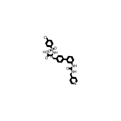 O=C(NCc1ccncc1)Nc1cccc(-c2ccc(C[C@H](NS(=O)(=O)c3ccc(Cl)cc3)C(=O)O)cc2)c1